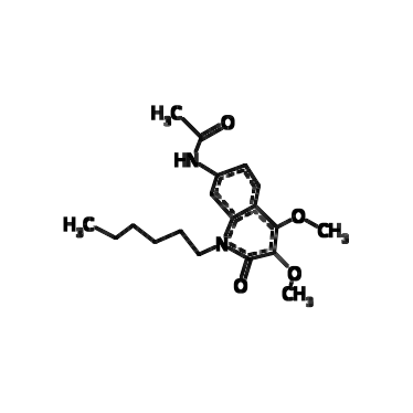 CCCCCCn1c(=O)c(OC)c(OC)c2ccc(NC(C)=O)cc21